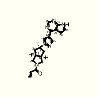 C=CC(=O)N1C[C@@H]2C[C@](C)(n3cc(-c4ncnc5[nH]ccc45)cn3)C[C@@H]2C1